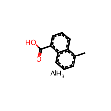 Cc1cccc2c(C(=O)O)cccc12.[AlH3]